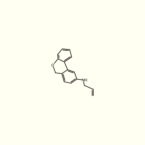 C=CCNc1ccc2c(c1)-c1ccccc1OC2